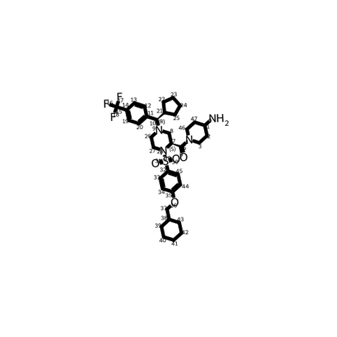 NC1CCN(C(=O)[C@@H]2CN([C@@H](c3ccc(C(F)(F)F)cc3)C3CCCC3)CCN2S(=O)(=O)c2ccc(OCC3CCCCC3)cc2)CC1